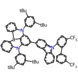 CC(C)(C)c1cc(N2c3ccccc3B3c4ccccc4N(c4cc(C(C)(C)C)cc(C(C)(C)C)c4)c4cc(-c5ccc6c(c5)c5ccccc5n6-c5ccc(C(F)(F)F)cc5-c5cccc(C(F)(F)F)c5)cc2c43)cc(C(C)(C)C)c1